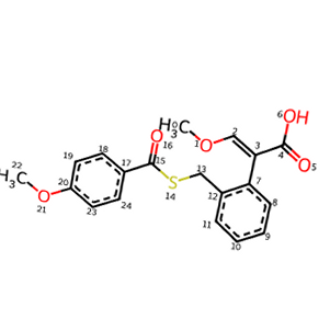 CO/C=C(/C(=O)O)c1ccccc1CSC(=O)c1ccc(OC)cc1